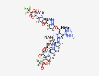 CNC(=O)c1[nH]ccc1N(N)N.CNC(=O)c1ccc[nH]1.CNC(=O)c1ccc[nH]1.CNC(=O)c1ccc[nH]1.CNC(=O)c1ccc[nH]1.CNC(=O)c1ccc[nH]1.O=C(O)C(F)(F)F.O=C(O)C(F)(F)F